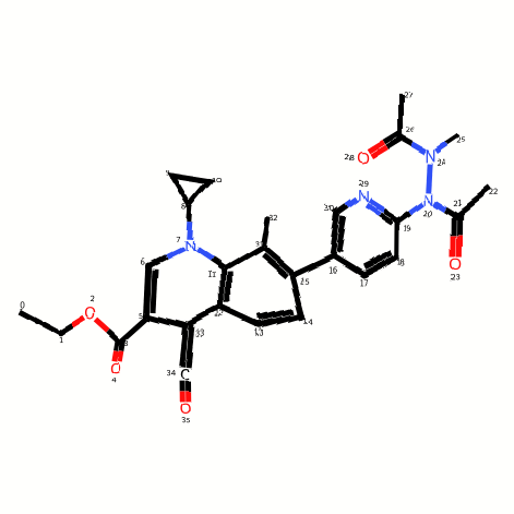 CCOC(=O)C1=CN(C2CC2)c2c(ccc(-c3ccc(N(C(C)=O)N(C)C(C)=O)nc3)c2C)C1=C=O